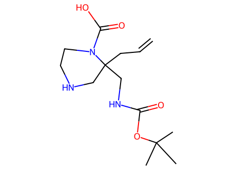 C=CCC1(CNC(=O)OC(C)(C)C)CNCCN1C(=O)O